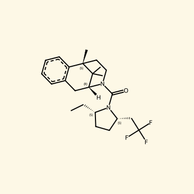 CC[C@H]1CC[C@@H](CC(F)(F)F)N1C(=O)N1CC[C@@]2(C)c3ccccc3C[C@@H]1C2(C)C